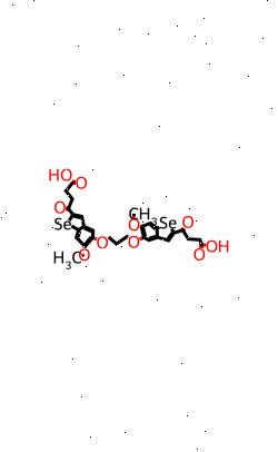 COc1cc2[se]c(C(=O)CCC(=O)O)cc2cc1OCCCOc1cc2cc(C(=O)CCC(=O)O)[se]c2cc1OC